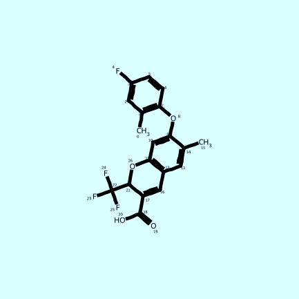 Cc1cc(F)ccc1Oc1cc2c(cc1C)C=C(C(=O)O)C(C(F)(F)F)O2